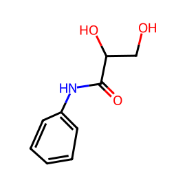 O=C(Nc1ccccc1)C(O)CO